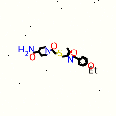 CCOc1ccc(-c2nc(CSCC(=O)N3CCC(C(N)=O)CC3)c(C)o2)cc1